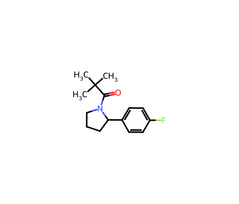 CC(C)(C)C(=O)N1CCCC1c1ccc(F)cc1